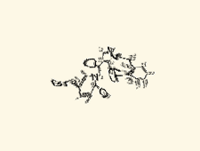 O=C(Cn1cc(Br)ccc1=O)c1cnn(Cc2ccccc2)c1C(F)(F)F